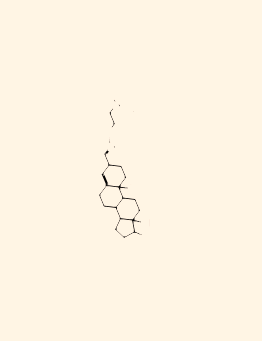 CC12CCC(C=NOCCN)C=C1CCC1C2CCC2(C)C(O)CCC12